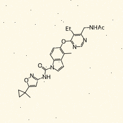 CCc1c(CNC(C)=O)ncnc1Oc1ccc2c(ccn2C(=O)Nc2cc(C3(C)CC3)on2)c1C